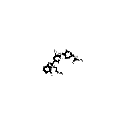 CCCn1c(-c2cnc(Nc3ccc(NC(C)=O)nc3)c(Cl)c2)nc2cccc(Cl)c21